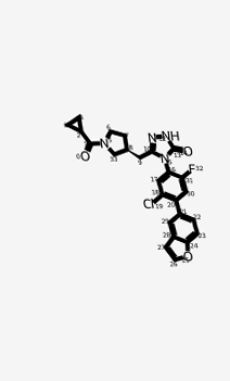 O=C(C1CC1)N1CC[C@@H](Cc2n[nH]c(=O)n2-c2cc(Cl)c(-c3ccc4occc4c3)cc2F)C1